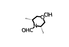 C[C@@H]1COC[C@H](C)N1C=O.Cl